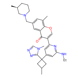 CCNc1cc(C2(c3nncn3C)CC(C)C2)cc(-c2coc3c(C)cc(CN4CCC[C@H](C)C4)cc3c2=O)n1